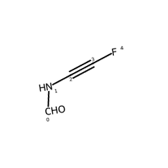 O=CNC#CF